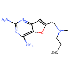 COCCN(C)Cc1cc2nc(N)nc(N)c2o1